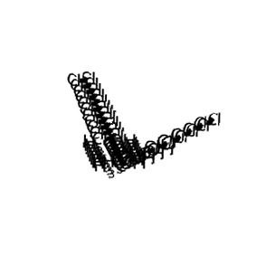 CO.CO.CO.CO.CO.CO.CO.CO.CO.CO.CO.ClCCl.ClCCl.ClCCl.ClCCl.ClCCl.ClCCl.ClCCl.ClCCl.ClCCl.ClCCl.ClCCl.ClCCl.ClCCl.ClCCl.ClCCl.ClCCl